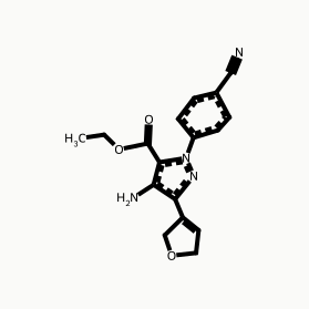 CCOC(=O)c1c(N)c(C2=CCOC2)nn1-c1ccc(C#N)cc1